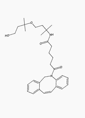 CC(C)(CCOC(C)(C)CCO)NC(=O)CCCCC(=O)N1Cc2ccccc2/C=C\c2ccccc21